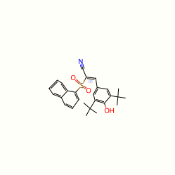 CC(C)(C)c1cc(/C=C(/C#N)S(=O)(=O)c2cccc3ccccc23)cc(C(C)(C)C)c1O